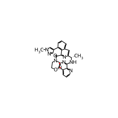 C[C@H](Nc1ncnc2cccnc12)c1cc2cccc(-c3cnn(C)c3)c2c(C(=O)N2CCOCC2)n1